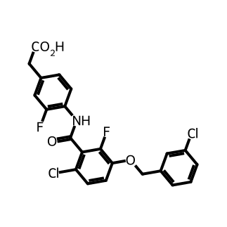 O=C(O)Cc1ccc(NC(=O)c2c(Cl)ccc(OCc3cccc(Cl)c3)c2F)c(F)c1